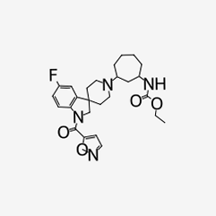 CCOC(=O)NC1CCCCC(N2CCC3(CC2)CN(C(=O)c2ccno2)c2ccc(F)cc23)C1